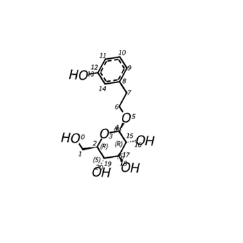 OC[C@H]1O[C@@H](OCCc2cccc(O)c2)[C@H](O)[C@@H](O)[C@@H]1O